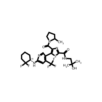 CC1CCCN1C(=O)c1nc(C(=O)NCC(C)(C)O)sc1-c1cnc(N[C@H]2CCCCC2(F)F)cc1C(F)(F)F